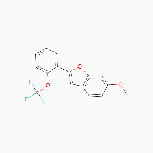 COc1ccc2cc(-c3ccccc3OC(F)(F)F)oc2c1